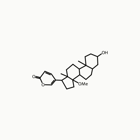 COC12CCC(c3ccc(=O)oc3)C1(C)CCC1C2CCC2CC(O)CCC21C